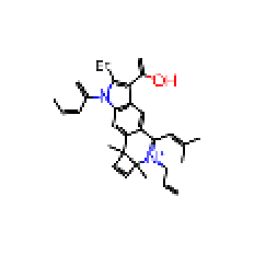 C=CC[N+]1=C(C=C(C)C)c2cc3c(C(=C)O)c(CC)n(C(=C)/C=C\C)c3cc2C2(C)C=CC12C